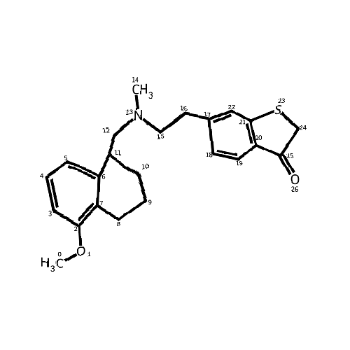 COc1cccc2c1CCCC2CN(C)CCc1ccc2c(c1)SCC2=O